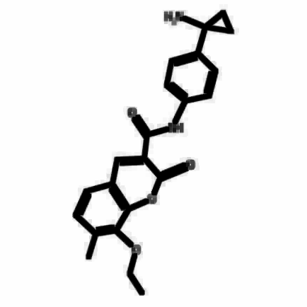 CCOc1c(C)ccc2cc(C(=O)Nc3ccc(C4(N)CC4)cc3)c(=O)oc12